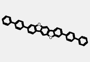 c1ccc(-c2ccc(-c3ccc4c(c3)oc3cc5c(cc34)oc3cc(-c4ccc(-c6ccccc6)cc4)ccc35)cc2)cc1